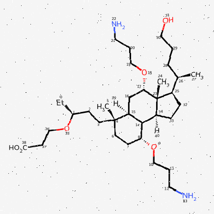 CC[C@@H](CC[C@@]1(C)CC[C@@H](OCCCN)C2[C@@H]1C[C@H](OCCCN)[C@]1(C)[C@@H]([C@H](C)CCCO)CC[C@@H]21)OCCC(=O)O